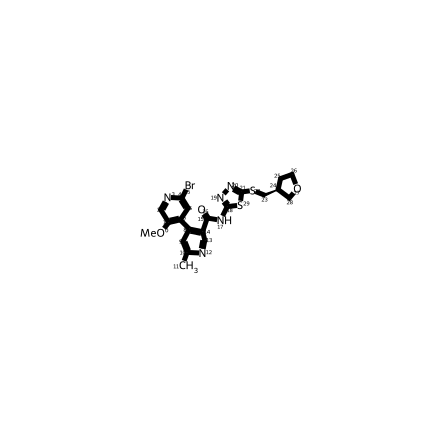 COc1cnc(Br)cc1-c1cc(C)ncc1C(=O)Nc1nnc(SC[C@H]2CCOC2)s1